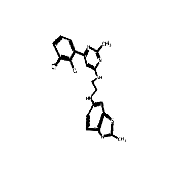 Cc1nc(NCCNc2ccc3nc(C)sc3c2)cc(-c2cccc(Cl)c2Cl)n1